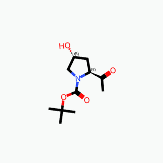 CC(=O)[C@@H]1C[C@@H](O)CN1C(=O)OC(C)(C)C